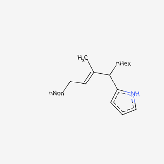 CCCCCCCCCCC=C(C)C(CCCCCC)c1ccc[nH]1